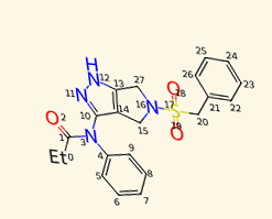 CCC(=O)N(c1ccccc1)c1n[nH]c2c1CN(S(=O)(=O)Cc1ccccc1)C2